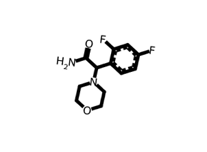 NC(=O)C(c1ccc(F)cc1F)N1CCOCC1